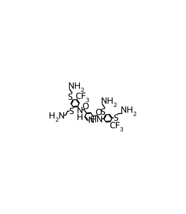 NCCSc1cc(SCCN)c(C(F)(F)F)cc1NC(=O)c1ccnc(C(=O)Nc2cc(C(F)(F)F)c(SCCN)cc2SCCN)c1